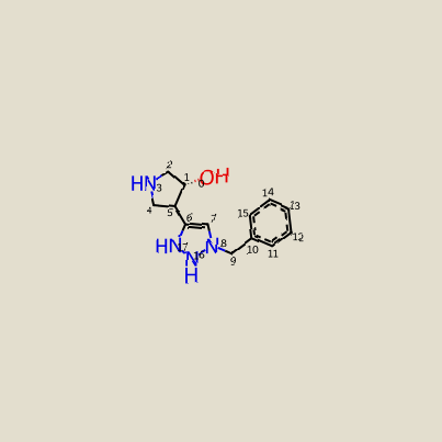 O[C@H]1CNCC1C1=CN(Cc2ccccc2)NN1